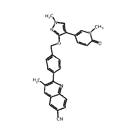 Cc1cc2cc(C#N)ccc2nc1-c1ccc(COc2nn(C)cc2-c2ccc(=O)n(C)c2)cc1